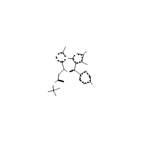 Cc1sc2c(c1C)C(c1ccc(Br)cc1)=NC(CC(=O)OC(C)(C)C)c1nnc(C)n1-2